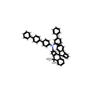 CC1(C)c2ccccc2C2(c3ccccc3-c3ccccc32)c2cc(N(c3ccc(-c4ccc(-c5ccccc5)cc4)cc3)c3cccc(-c4ccccc4)c3)ccc21